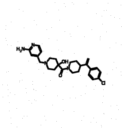 C=C(c1ccc(Cl)cc1)C1CCN(C(=O)C2(O)CCN(Cc3ccnc(N)c3)CC2)CC1